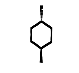 C[C@H]1CC[C@H](F)CC1